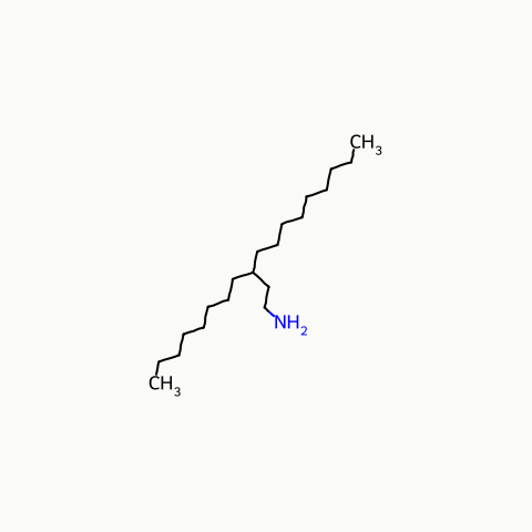 CCCCCCCCCC(CCN)CCCCCCCC